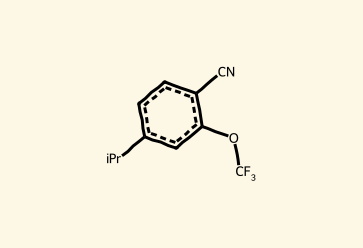 [CH2]C(C)c1ccc(C#N)c(OC(F)(F)F)c1